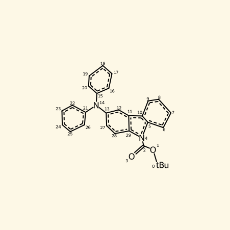 CC(C)(C)OC(=O)n1c2ccccc2c2cc(N(c3ccccc3)c3ccccc3)ccc21